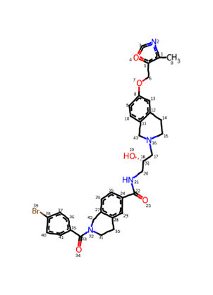 Cc1ncoc1COc1ccc2c(c1)CCN(C[C@@H](O)CNC(=O)c1ccc3c(c1)CCN(C(=O)c1ccc(Br)cc1)C3)C2